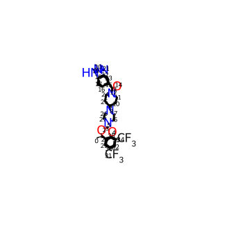 C[C@@H](OC(=O)N1CCN(C2CCN(C(=O)c3ccc4[nH]nnc4c3)CC2)CC1)c1cc(C(F)(F)F)cc(C(F)(F)F)c1